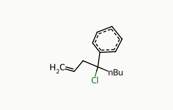 C=CCC(Cl)(CCCC)c1ccccc1